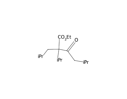 CCOC(=O)C(CC(C)C)(C(=O)CC(C)C)C(C)C